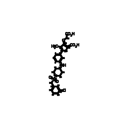 Cc1c(-c2cccc(NC3CCN(S(=O)(=O)Cc4cccc(Cl)c4)CC3)c2)sc(C(=O)O)c1OCC(=O)O